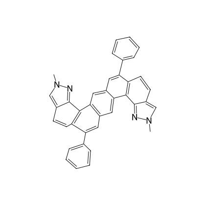 Cn1cc2ccc3c(-c4ccccc4)cc4cc5c(cc(-c6ccccc6)c6ccc7cn(C)nc7c65)cc4c3c2n1